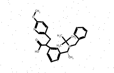 COc1ccc(CC(C(=O)O)c2cccc([C@@H](C)N(Cc3ccccc3)C(C)(C)C)c2)cn1